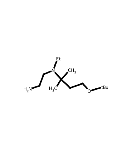 CCN(CCN)C(C)(C)CCOC(C)(C)C